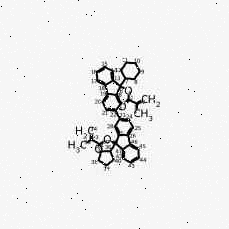 C=C(C)C(=O)OC1(C2CCCCC2)c2ccccc2-c2ccc(-c3ccc4c(c3)C(OC(=O)C(=C)C)(C3CCCC3)c3ccccc3-4)cc21